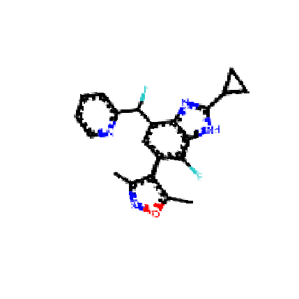 Cc1noc(C)c1-c1cc(C(F)c2ccccn2)c2nc(C3CC3)[nH]c2c1F